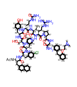 CC(=O)N[C@H](Cc1ccc2ccccc2c1)C(=O)N[C@H](Cc1ccc(Cl)cc1)C(=O)N[C@H](Cc1cccnc1)C(=O)N[C@@H](CO)C(=O)N[C@@H](Cc1ccc(O)cc1)C(=O)N[C@H](CCCNC(N)=O)C(=O)N[C@@H](CC(C)C)C(=O)N[C@@H](CCCNC(=N)N)C(=O)N1CCC[C@H]1C(=O)N[C@H](C)C(N)=O.CN(C)CCOc1ccccc1Cc1ccccc1